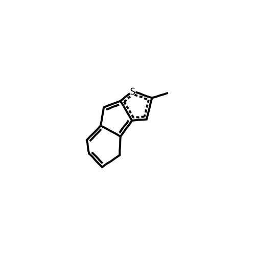 Cc1cc2c(s1)=CC1=CC=CCC=21